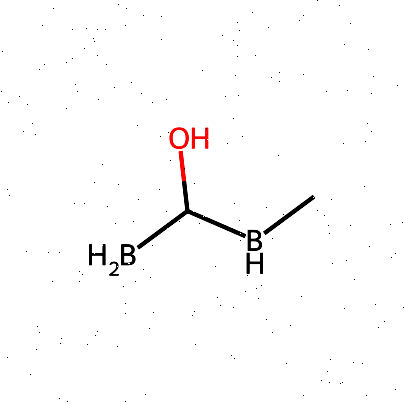 BC(O)BC